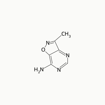 Cc1noc2c(N)ncnc12